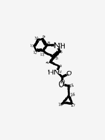 O=C(NCCc1c[nH]c2ccccc12)OCC1CC1